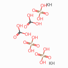 O=C(O)O.O=C(O)O.O=S(=O)(O)O.O=S(=O)(O)O.O=S(=O)(O)O.[KH].[KH]